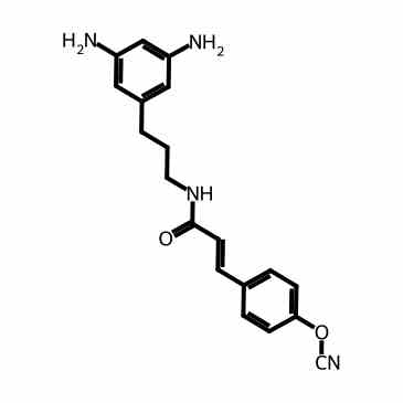 N#COc1ccc(/C=C/C(=O)NCCCc2cc(N)cc(N)c2)cc1